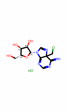 Cl.N=C1N=CN=C2N([C@@H]3O[C@H](CO)[C@@H](O)[C@H]3O)C=NC12CCl